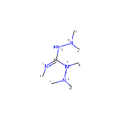 CN=C(NN(C)C)N(C)N(C)C